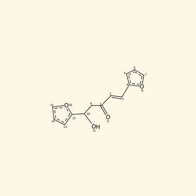 O=C(/C=C/c1ccco1)CC(O)c1ccco1